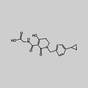 O=C(O)CNC(=O)C1=C(O)CCN(Cc2ccc(C3CC3)cc2)C1=O